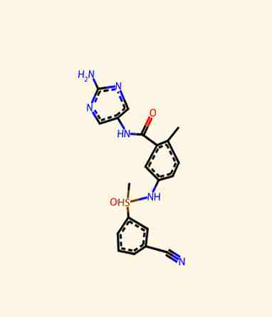 Cc1ccc(N[SH](C)(=O)c2cccc(C#N)c2)cc1C(=O)Nc1cnc(N)nc1